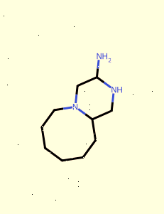 NC1CN2CCCCCCC2CN1